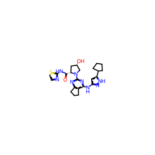 O=C(Nc1nccs1)[C@@H]1C[C@H](O)CN1c1nc2c(c(Nc3cc(C4CCCC4)[nH]n3)n1)CCC2